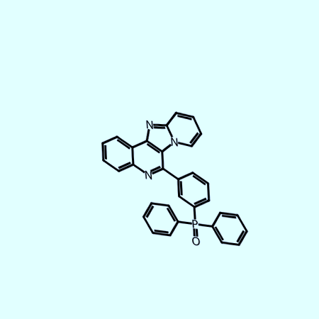 O=P(c1ccccc1)(c1ccccc1)c1cccc(-c2nc3ccccc3c3nc4ccccn4c23)c1